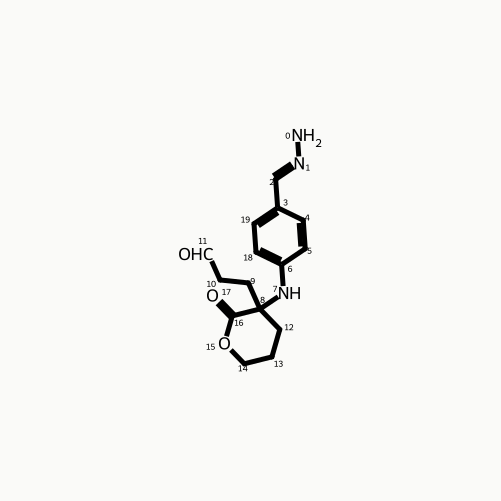 NN=Cc1ccc(NC2(CCC=O)CCCOC2=O)cc1